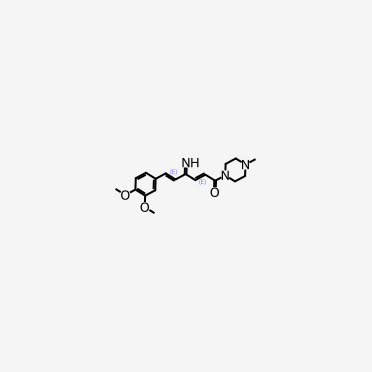 COc1ccc(/C=C/C(=N)/C=C/C(=O)N2CCN(C)CC2)cc1OC